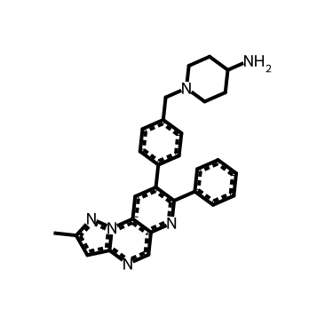 Cc1cc2ncc3nc(-c4ccccc4)c(-c4ccc(CN5CCC(N)CC5)cc4)cc3n2n1